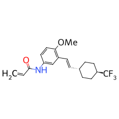 C=CC(=O)Nc1ccc(OC)c(/C=C/[C@H]2CC[C@H](C(F)(F)F)CC2)c1